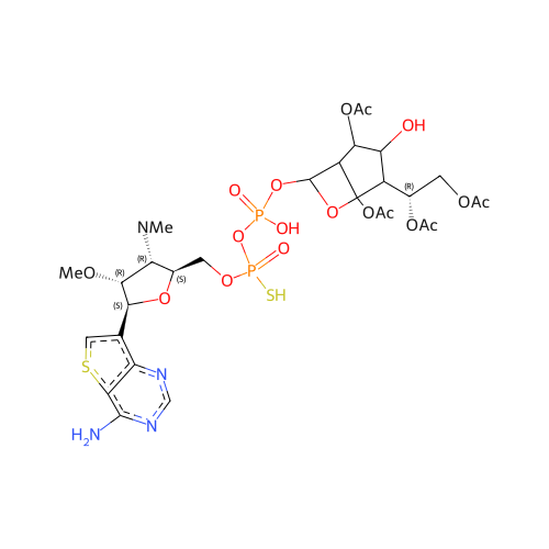 CN[C@H]1[C@@H](OC)[C@H](c2csc3c(N)ncnc23)O[C@@H]1COP(=O)(S)OP(=O)(O)OC1OC2(OC(C)=O)C1C(OC(C)=O)C(O)C2[C@H](COC(C)=O)OC(C)=O